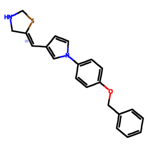 C(=C1\CNCS1)/c1ccn(-c2ccc(OCc3ccccc3)cc2)c1